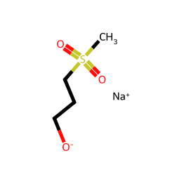 CS(=O)(=O)CCC[O-].[Na+]